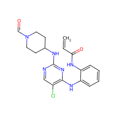 C=CC(=O)Nc1ccccc1Nc1nc(NC2CCN(C=O)CC2)ncc1Cl